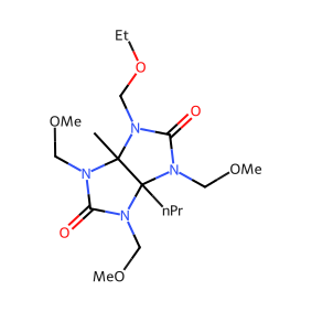 CCCC12N(COC)C(=O)N(COC)C1(C)N(COCC)C(=O)N2COC